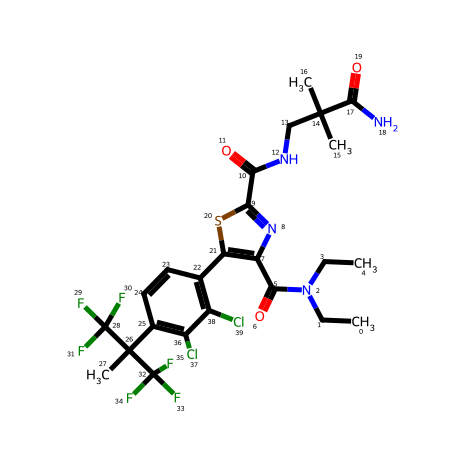 CCN(CC)C(=O)c1nc(C(=O)NCC(C)(C)C(N)=O)sc1-c1ccc(C(C)(C(F)(F)F)C(F)(F)F)c(Cl)c1Cl